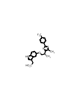 Cc1sc(-c2ccc(C(F)(F)F)cc2)nc1[C@@H](C)COc1ccc2[nH]cc(CC(=O)O)c2c1